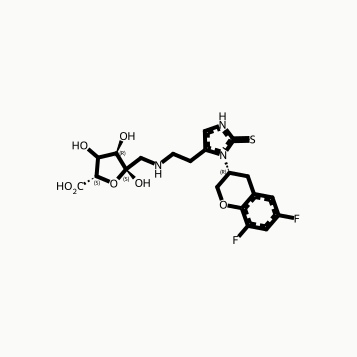 O=C(O)[C@H]1O[C@@](O)(CNCCc2c[nH]c(=S)n2[C@H]2COc3c(F)cc(F)cc3C2)[C@H](O)C1O